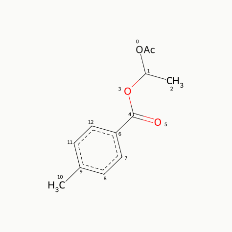 CC(=O)OC(C)OC(=O)c1ccc(C)cc1